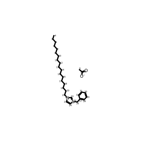 CC(=O)[O-].CCCCCCCCCCCCCCCCCCn1cc[n+](Cc2ccccc2)c1